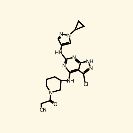 N#CCC(=O)N1CCC[C@@H](Nc2nc(Nc3cnn(C4CC4)c3)nc3[nH]nc(Cl)c23)C1